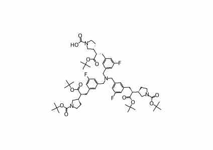 CC(C)(C)OC(=O)[C@@H](Cc1cc(F)cc(CN(Cc2cc(F)cc(C[C@H](C(=O)OC(C)(C)C)[C@H]3CCN(C(=O)OC(C)(C)C)C3)c2)Cc2cc(F)cc(C[C@H](C(=O)OC(C)(C)C)[C@H]3CCN(C(=O)OC(C)(C)C)C3)c2)c1)[C@H]1CCN(C(=O)O)C1